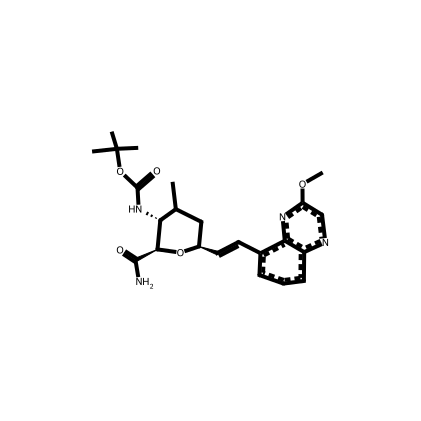 COc1cnc2cccc(/C=C/[C@@H]3CC(C)[C@@H](NC(=O)OC(C)(C)C)[C@H](C(N)=O)O3)c2n1